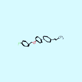 CCC[C@H]1CC[C@H](c2ccc(OCc3ccc(F)cc3)cc2)CC1